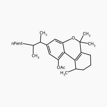 CCCCCC(C)C(C)c1cc(OC(C)=O)c2c(c1)OC(C)(C)C1=C2C(C)CCC1